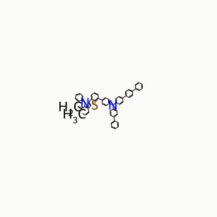 C=Cc1c(/C=C\C)c2sc3c(-c4ccc(N(c5ccc(-c6ccccc6)cc5)c5ccc(-c6ccc(-c7ccccc7)cc6)cc5)cc4)cccc3c2n1-c1ccccc1